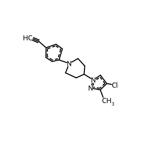 C#Cc1ccc(N2CCC(n3cc(Cl)c(C)n3)CC2)cc1